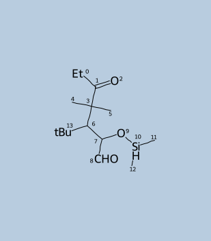 CCC(=O)C(C)(C)C(C(C=O)O[SiH](C)C)C(C)(C)C